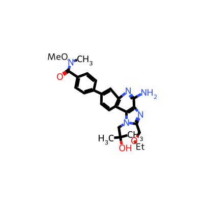 CCOCc1nc2c(N)nc3cc(-c4ccc(C(=O)N(C)OC)cc4)ccc3c2n1CC(C)(C)O